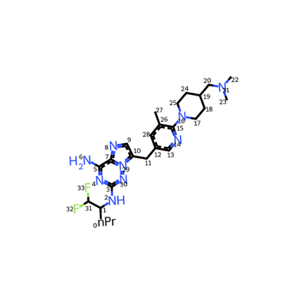 CCCC(Nc1nc(N)c2ncc(Cc3cnc(N4CCC(CN(C)C)CC4)c(C)c3)n2n1)C(F)F